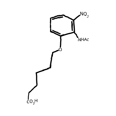 CC(=O)Nc1c(OCCCCCC(=O)O)cccc1[N+](=O)[O-]